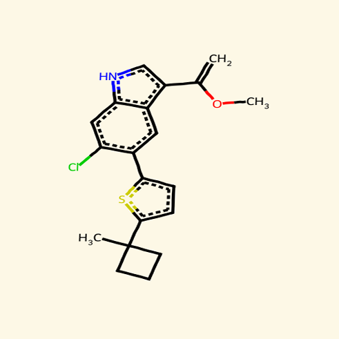 C=C(OC)c1c[nH]c2cc(Cl)c(-c3ccc(C4(C)CCC4)s3)cc12